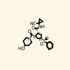 N#CC1(NC(=O)[C@@H]2C[C@@H](S(=O)(=O)c3ccccc3)C[C@H]2C(=O)N2CCC(O)CC2)CC1